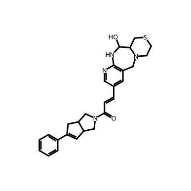 O=C(/C=C/c1cnc2c(c1)CN1CCSCC1C(O)N2)N1CC2C=C(c3ccccc3)CC2C1